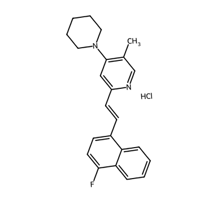 Cc1cnc(C=Cc2ccc(F)c3ccccc23)cc1N1CCCCC1.Cl